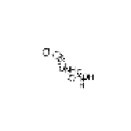 O=C(Cc1nc2ccc(-c3ccccc3)cc2s1)NCc1cccc(C(=O)NO)c1